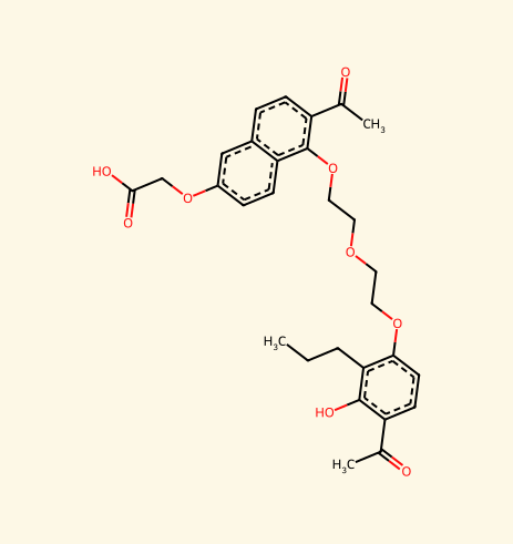 CCCc1c(OCCOCCOc2c(C(C)=O)ccc3cc(OCC(=O)O)ccc23)ccc(C(C)=O)c1O